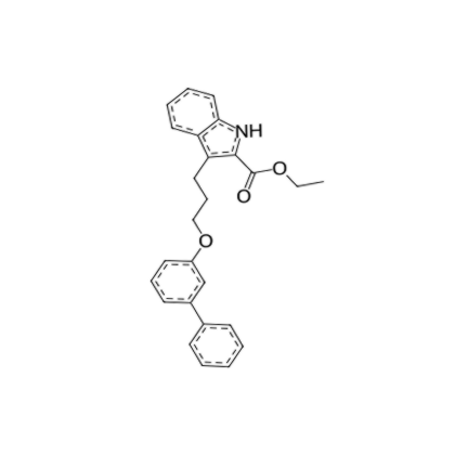 CCOC(=O)c1[nH]c2ccccc2c1CCCOc1cccc(-c2ccccc2)c1